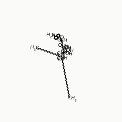 CCCCCCCCCCCCCCCCCCCCCCCCCC(=O)N[C@@H](COC1OC(CNC(=O)CCNS(=O)(=O)c2cccc3c(N)cccc23)C(O)C(O)C1O)[C@H](O)[C@H](O)CCCCCCCCCCCCCC